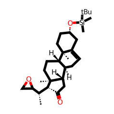 C[C@H](C1CO1)[C@H]1C(=O)C[C@H]2[C@@H]3CC=C4C[C@@H](O[Si](C)(C)C(C)(C)C)CC[C@]4(C)[C@H]3CC[C@]12C